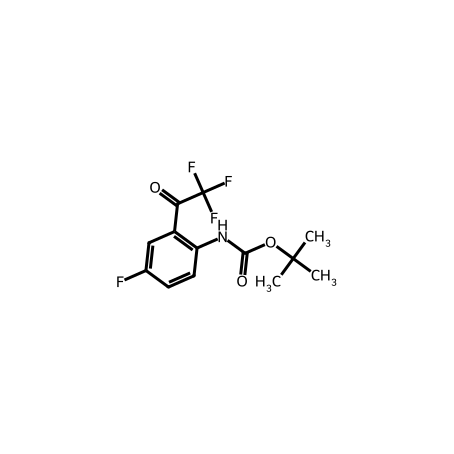 CC(C)(C)OC(=O)Nc1ccc(F)cc1C(=O)C(F)(F)F